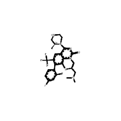 C[C@H]1CNCCN1c1nc(=O)n2c3c(c(-c4ccc(F)cc4F)c(C(F)(F)F)cc13)SC(CN(C)C)C2